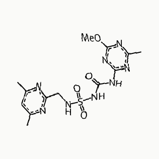 COc1nc(C)nc(NC(=O)NS(=O)(=O)NCc2nc(C)cc(C)n2)n1